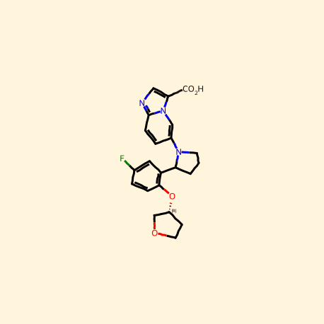 O=C(O)c1cnc2ccc(N3CCCC3c3cc(F)ccc3O[C@@H]3CCOC3)cn12